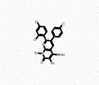 CCn1c(=O)c(C(C)=O)c(NC(C)=O)c2cc(-c3ccc(Cl)cc3)c(-c3ccc(Cl)cc3Cl)nc21